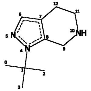 CC(C)(C)n1ncc2c1CNCC2